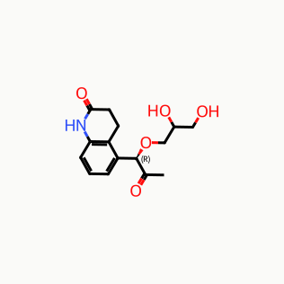 CC(=O)[C@H](OCC(O)CO)c1cccc2c1CCC(=O)N2